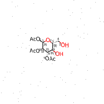 CC(=O)O[C@H]1O[C@H](CO)[C@@H](O)[C@H](OC(C)=O)[C@@H]1OC(C)=O